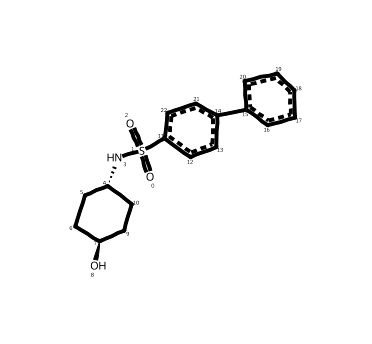 O=S(=O)(N[C@H]1CC[C@H](O)CC1)c1ccc(-c2ccccc2)cc1